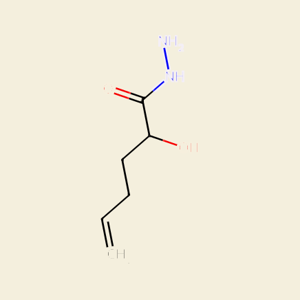 C=CCCC(O)C(=O)NN